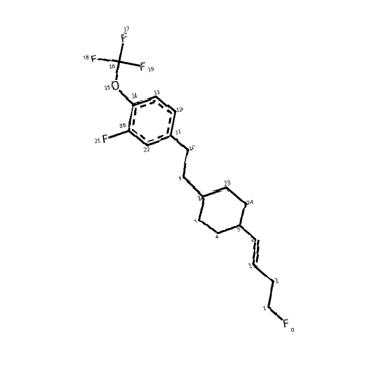 FCC/C=C/C1CCC(CCc2ccc(OC(F)(F)F)c(F)c2)CC1